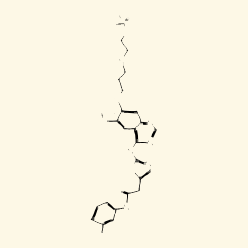 COc1cc2c(Nc3ncc(CC(=O)Nc4cccc(F)c4)s3)ncnc2cc1OCCCNCCOP(=O)(O)O